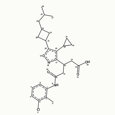 Cc1c(Cl)cccc1NC(=O)CC(CC(=O)O)c1noc(C2CC(CC(C)C)C2)c1C1CC1